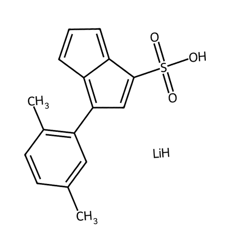 Cc1ccc(C)c(C2=C3C=CC=C3C(S(=O)(=O)O)=C2)c1.[LiH]